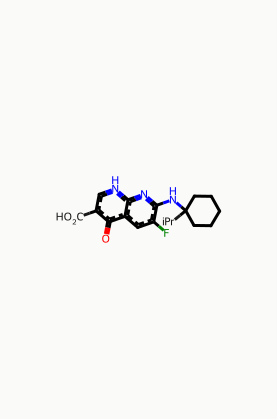 CC(C)C1(Nc2nc3[nH]cc(C(=O)O)c(=O)c3cc2F)CCCCC1